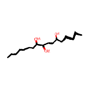 CCCCCCCC(O)C(O)/C=C/C(O)CCCCC